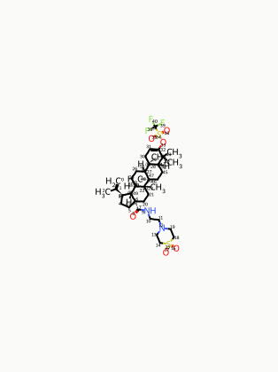 C=C(C)[C@@H]1CC[C@]2(C(=O)NCCN3CCS(=O)(=O)CC3)CC[C@]3(C)[C@H](CC[C@@H]4[C@@]5(C)CC=C(OS(=O)(=O)C(F)(F)F)C(C)(C)[C@@H]5CC[C@]43C)[C@@H]12